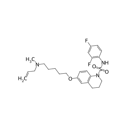 C=CCN(C)CCCCCOc1ccc2c(c1)CCCN2S(=O)(=O)Nc1ccc(F)cc1F